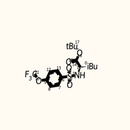 CC[C@@H](C)[C@@H](NS(=O)(=O)c1ccc(OC(F)(F)F)cc1)C(=O)OC(C)(C)C